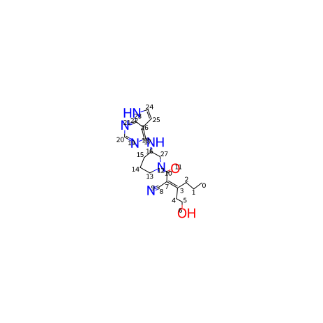 CCC/C(CCO)=C(/C#N)C(=O)N1CCC[C@@H](Nc2ncnc3[nH]ccc23)C1